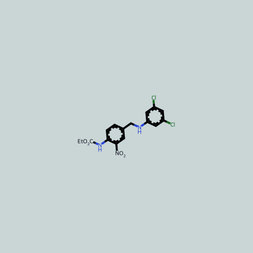 CCOC(=O)Nc1ccc(CNc2cc(Cl)cc(Cl)c2)cc1[N+](=O)[O-]